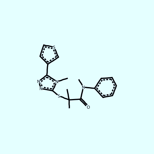 CN(C(=O)C(C)(C)Sc1nnc(-c2ccsc2)n1C)c1ccccc1